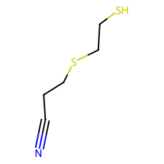 N#CCCSCCS